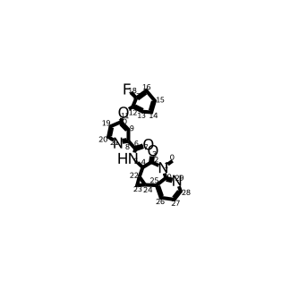 CN1C(=O)C(NC(=O)c2cc(Oc3ccccc3F)ccn2)C2CC2c2cccnc21